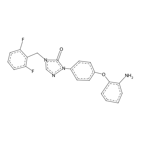 Nc1ccccc1Oc1ccc(-n2ncn(Cc3c(F)cccc3F)c2=O)cc1